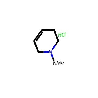 CNN1CC=CCC1.Cl